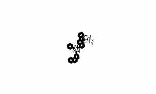 CC1(C)c2ccccc2-c2ccc3c(-c4nc(-c5ccccc5)nc(-c5ccc6ccc7ccccc7c6c5)n4)cccc3c21